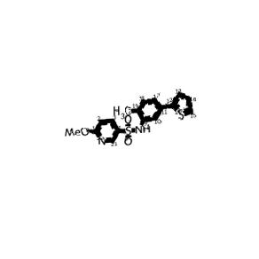 COc1ccc(S(=O)(=O)Nc2cc(-c3cccs3)ccc2C)cn1